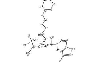 Cc1n[nH]c2ccc(-c3nnc(NCCNCC4CCOCC4)s3)cc12.O=C(O)C(F)(F)F